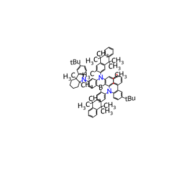 Cc1cc2c3c(c1)N(c1ccc(C(C)(C)C)cc1-c1ccccc1)c1cc4c(cc1B3c1ccc(N3c5ccc(C(C)(C)C)cc5C5(C)CCCCC35C)cc1N2c1cc2c(cc1C)C(C)(C)c1ccccc1C2(C)C)C(C)(C)c1ccccc1C4(C)C